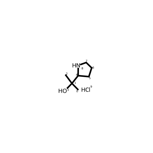 CC(C)(O)C1CCCN1.Cl